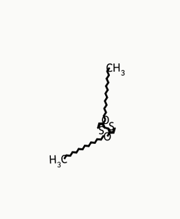 CCCCCCCCCCCCCCOc1ccsc1-c1sccc1OCCCCCCCCCCCCCC